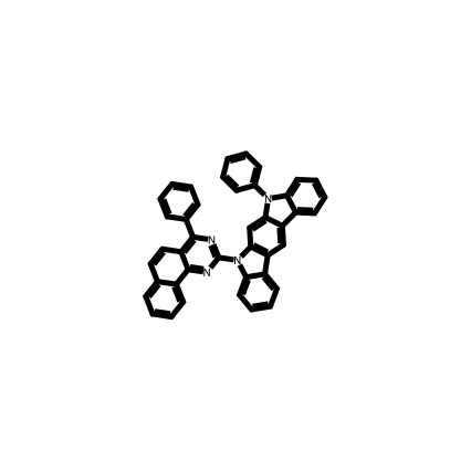 c1ccc(-c2nc(-n3c4ccccc4c4cc5c6ccccc6n(-c6ccccc6)c5cc43)nc3c2ccc2ccccc23)cc1